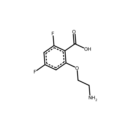 NCCOc1cc(F)cc(F)c1C(=O)O